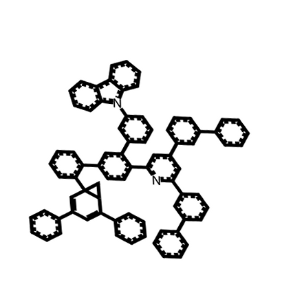 C1=C(c2ccccc2)C=C(c2ccccc2)C2CC12c1ccccc1-c1ccc(-c2cc(-c3cccc(-c4ccccc4)c3)cc(-c3cccc(-c4ccccc4)c3)n2)c(-c2cccc(-n3c4ccccc4c4ccccc43)c2)c1